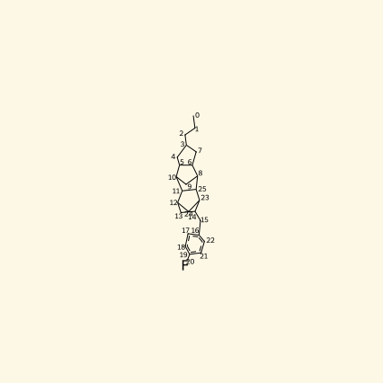 CCCC1CC2C(C1)C1CC2C2C3CC(Cc4ccc(F)cc4)C(C3)C12